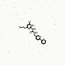 CCCCc1cc(=O)[nH]c(NC(=O)NCc2ccc(-c3ccccn3)nc2)n1